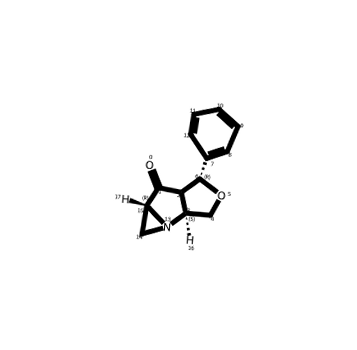 O=C1C2[C@@H](CO[C@H]2c2ccccc2)N2C[C@H]12